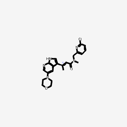 C/C(=C\C(=O)N(C)Cc1cccc(Cl)n1)c1c[nH]c2ncc(N3CCOCC3)cc12